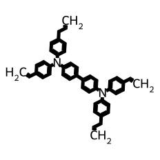 C=CCc1ccc(N(c2ccc(C=C)cc2)c2ccc(-c3ccc(N(c4ccc(C=C)cc4)c4ccc(CC=C)cc4)cc3)cc2)cc1